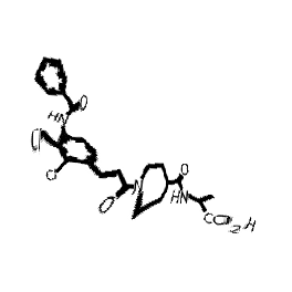 CC(NC(=O)C1CCN(C(=O)/C=C/c2ccc(NC(=O)c3ccccc3)c(Cl)c2Cl)CC1)C(=O)O